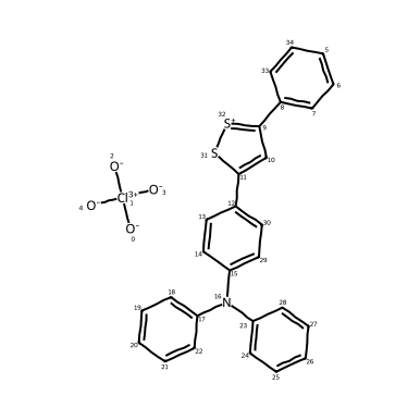 [O-][Cl+3]([O-])([O-])[O-].c1ccc(-c2cc(-c3ccc(N(c4ccccc4)c4ccccc4)cc3)s[s+]2)cc1